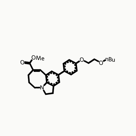 CCCCOCCOc1ccc(-c2cc3c4c(c2)CCN4CCCC(C(=O)OC)=C3)cc1